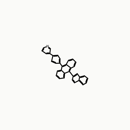 c1cncc(-c2ccc(-c3c4ccccc4c(-c4ccc5ccccc5c4)c4ccccc34)cc2)c1